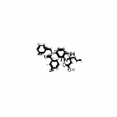 CCCC1(CC(=O)O)Nc2ccc(N(Cc3ccccc3)C(=O)c3cccc(F)c3)cc2N1